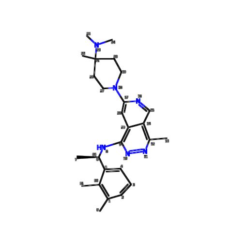 Cc1cccc([C@@H](C)Nc2nnc(C)c3cnc(N4CCC(C)(N(C)C)CC4)cc23)c1C